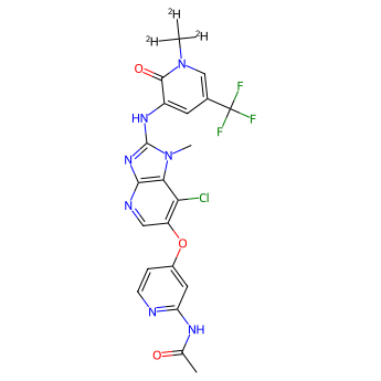 [2H]C([2H])([2H])n1cc(C(F)(F)F)cc(Nc2nc3ncc(Oc4ccnc(NC(C)=O)c4)c(Cl)c3n2C)c1=O